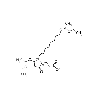 CCOC(C)OCCCCCCC=C[C@@H]1C(OC(C)OCC)CC(=O)[C@@H]1CC[N+](=O)[O-]